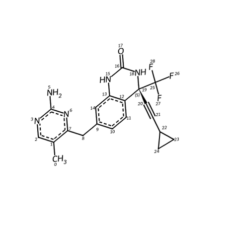 Cc1cnc(N)nc1Cc1ccc2c(c1)NC(=O)N[C@]2(C#CC1CC1)C(F)(F)F